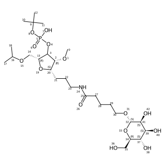 CO[C@H]1C(OP(=O)(O)OC(C)(C)C)[C@@H](COC(C)C)O[C@H]1CCCNC(=O)CCCCO[C@H]1O[C@H](CO)[C@@H](O)[C@H](O)[C@@H]1O